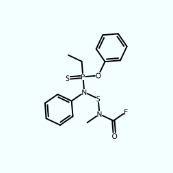 CCP(=S)(Oc1ccccc1)N(SN(C)C(=O)F)c1ccccc1